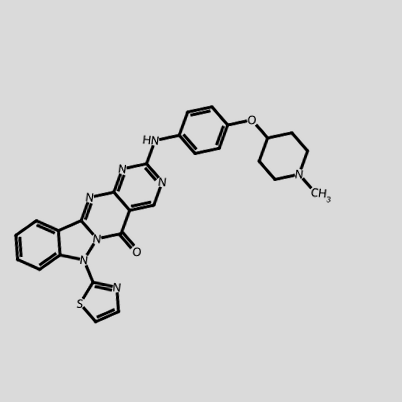 CN1CCC(Oc2ccc(Nc3ncc4c(=O)n5c(nc4n3)c3ccccc3n5-c3nccs3)cc2)CC1